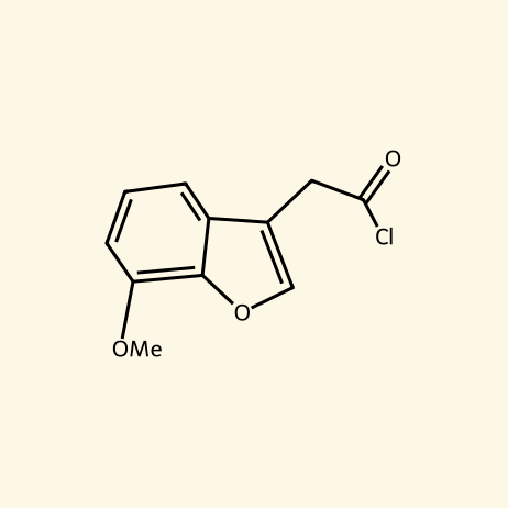 COc1cccc2c(CC(=O)Cl)coc12